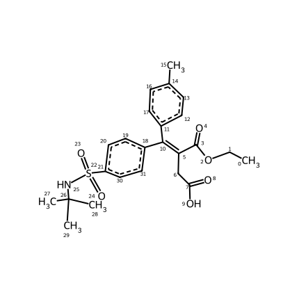 CCOC(=O)C(CC(=O)O)=C(c1ccc(C)cc1)c1ccc(S(=O)(=O)NC(C)(C)C)cc1